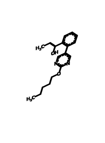 CCCCCOc1ncc(-c2ccccc2C(O)CC)cn1